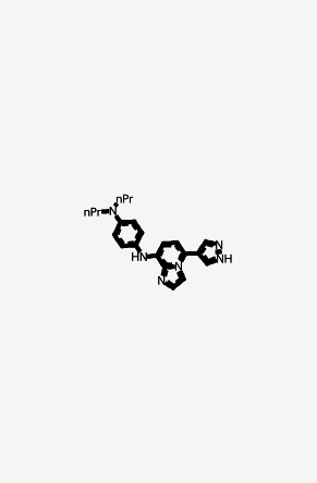 CCCN(CCC)c1ccc(Nc2ccc(-c3cn[nH]c3)n3ccnc23)cc1